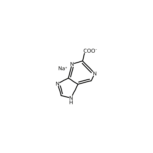 O=C([O-])c1ncc2[nH]cnc2n1.[Na+]